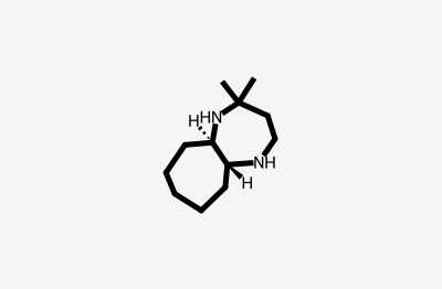 CC1(C)CCN[C@@H]2CCCCC[C@H]2N1